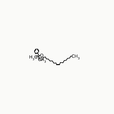 CCCCCCCC/C=C\CCCCCCCC(=O)OC(c1ccccc1)N(C)C